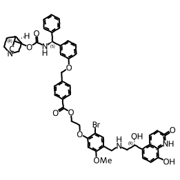 COc1cc(OCCOC(=O)c2ccc(COc3cccc([C@@H](NC(=O)O[C@H]4CN5CCC4CC5)c4ccccc4)c3)cc2)c(Br)cc1CNC[C@H](O)c1ccc(O)c2[nH]c(=O)ccc12